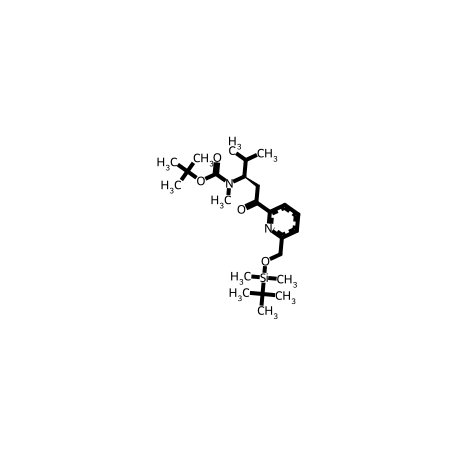 CC(C)[C@@H](CC(=O)c1cccc(CO[Si](C)(C)C(C)(C)C)n1)N(C)C(=O)OC(C)(C)C